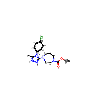 Cc1nnc(N2CCCN(C(=O)OC(C)(C)C)CC2)n1-c1ccc(Cl)cc1